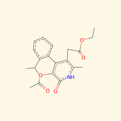 CCOC(=O)Cc1c(C)[nH]c(=O)c(OC(C)=O)c1-c1ccccc1C(C)C